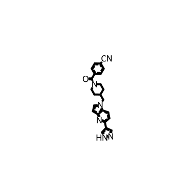 N#Cc1ccc(C(=O)N2CCC(Cn3ccc4nc(-c5cn[nH]c5)ccc43)CC2)cc1